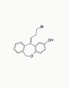 Oc1ccc2c(c1)C(=CCCBr)c1ccccc1CO2